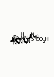 Cc1nc2cnc(Nc3ccnc(-c4cnc(N(C)C(=O)O)s4)n3)cc2n1C(C)C